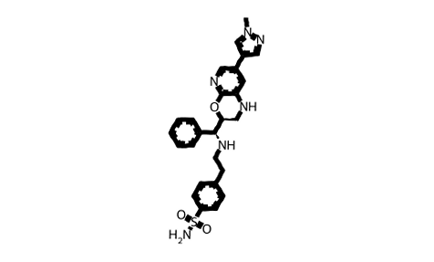 Cn1cc(-c2cnc3c(c2)NC[C@@H]([C@H](NCCc2ccc(S(N)(=O)=O)cc2)c2ccccc2)O3)cn1